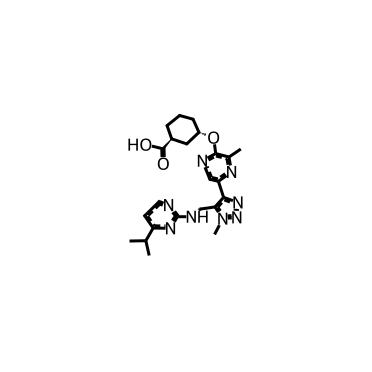 Cc1nc(-c2nnn(C)c2CNc2nccc(C(C)C)n2)cnc1O[C@H]1CCC[C@H](C(=O)O)C1